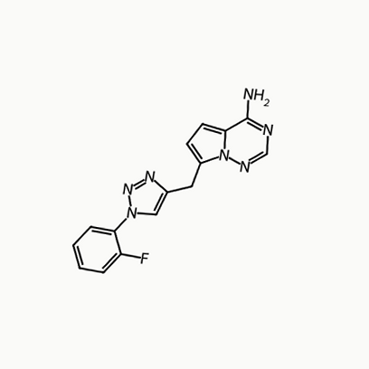 Nc1ncnn2c(Cc3cn(-c4ccccc4F)nn3)ccc12